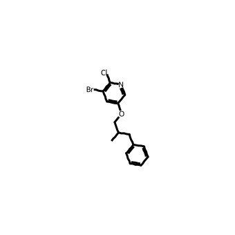 CC(COc1cnc(Cl)c(Br)c1)Cc1ccccc1